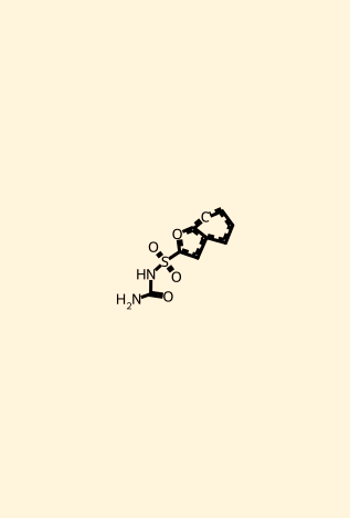 NC(=O)NS(=O)(=O)c1cc2ccccc2o1